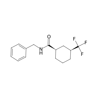 O=C(NCc1ccccc1)[C@@H]1CCC[C@H](C(F)(F)F)C1